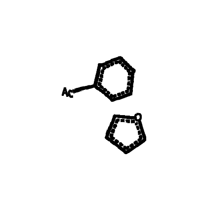 CC(=O)c1ccccc1.c1ccoc1